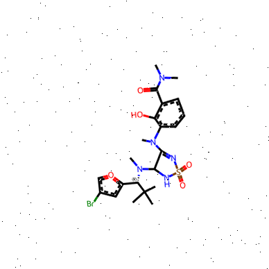 CN(C)C(=O)c1cccc(N(C)C2=NS(=O)(=O)NC2N(C)[C@@H](c2cc(Br)co2)C(C)(C)C)c1O